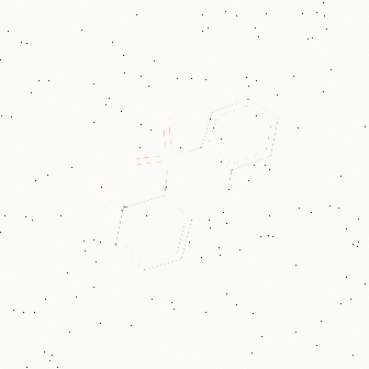 O=C1C=CC=C2Sc3ccccc3S(=O)(=O)C12